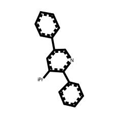 CC(C)c1cc(-c2ccccc2)cnc1-c1ccccc1